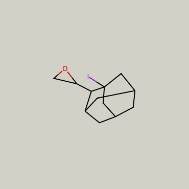 IC12CC3CC(CC(C3)C1C1CO1)C2